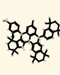 Cc1cc2c3c(c1)N(c1ccc(C(C)(C)C)cc1C)c1c(oc4c1C(C)(C)CCC4(C)C)B3c1cc3c(cc1N2c1ccc2c(c1)C(C)(C)CCC2(C)C)C(C)(C)CCC3(C)C